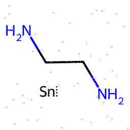 NCCN.[Sn]